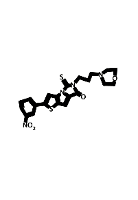 O=C1c2cc3sc(-c4cccc([N+](=O)[O-])c4)cc3n2C(=S)N1CCCN1CCOCC1